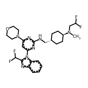 CN(CC(F)F)[C@H]1CC[C@H](CNc2nc(N3CCOCC3)cc(-n3c(C(F)F)nc4ccccc43)n2)CC1